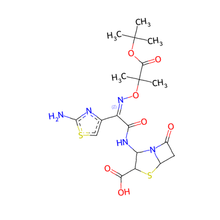 CC(C)(C)OC(=O)C(C)(C)O/N=C(\C(=O)NC1C(C(=O)O)SC2CC(=O)N21)c1csc(N)n1